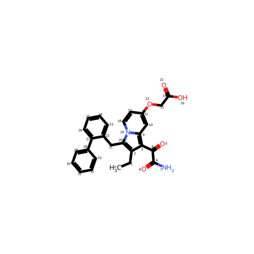 CCc1c(C(=O)C(N)=O)c2cc(OCC(=O)O)ccn2c1Cc1ccccc1-c1ccccc1